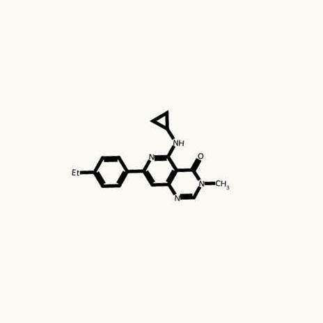 CCc1ccc(-c2cc3ncn(C)c(=O)c3c(NC3CC3)n2)cc1